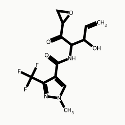 C=CC(O)C(NC(=O)c1cn(C)nc1C(F)(F)F)C(=O)C1CO1